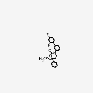 C=CC[C@]1(c2ccccc2)CCN(c2cccc(-c3ccc(F)cc3F)c2)C(=O)O1